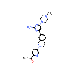 CNC(=O)c1ccc(N2CCc3ccc(-c4cc(N5CCN(C)CC5)nc(N)n4)cc3C2)cn1